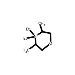 CC[N+]1(CC)C(C)COCC1C